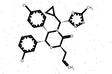 C=CC[C@H]1O[C@H](c2cccc(Cl)c2)[C@H](c2ccc(Cl)cc2)N([C@@H](c2nnc(C)o2)C2CC2)C1=O